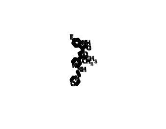 CC1(C)OC(=C2C(=O)Nc3cc(F)ccc32)C=C1c1ccnc(NCCN2CCOCC2)c1